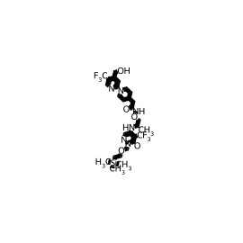 C[C@@H](CONC(=O)CC1CCN(c2cc(CO)c(C(F)(F)F)cn2)CC1)Nc1cnn(COCC[Si](C)(C)C)c(=O)c1C(F)(F)F